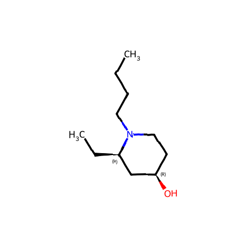 CCCCN1CC[C@@H](O)C[C@H]1CC